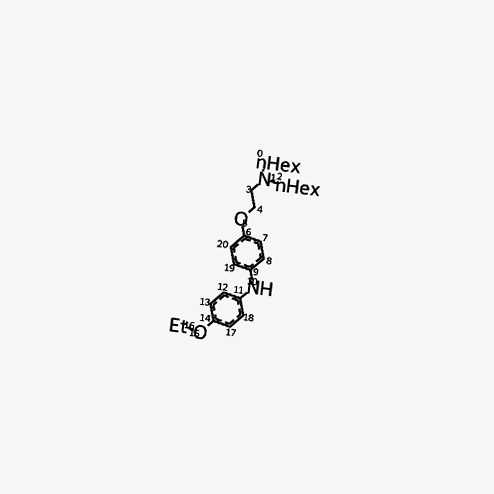 CCCCCCN(CCCCCC)CCOc1ccc(Nc2ccc(OCC)cc2)cc1